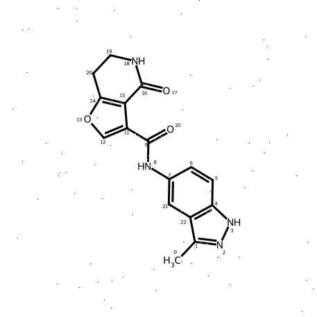 Cc1n[nH]c2ccc(NC(=O)c3coc4c3C(=O)NCC4)cc12